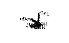 CCCCCCCCCCCCCCCCCCN(C(=O)CCCCCCCCCCCCCCCCC)[C@@H]1O[C@H](CO)[C@@H](O)[C@H](O)[C@H]1NC(=O)[C@@H](N)CC(C)C